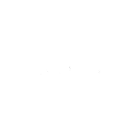 CSC(=S)NC[C@H]1CN(c2ccc(N3CCOC3=O)cc2)C(=O)O1